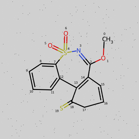 COC1=NS(=O)(=O)c2ccccc2C2=C1C=CCC2=S